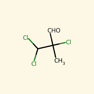 CC(Cl)(C=O)C(Cl)Cl